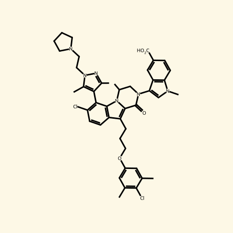 Cc1cc(OCCCc2c3n(c4c(-c5c(C)nn(CCN6CCCC6)c5C)c(Cl)ccc24)C(C)CN(c2cn(C)c4ccc(C(=O)O)cc24)C3=O)cc(C)c1Cl